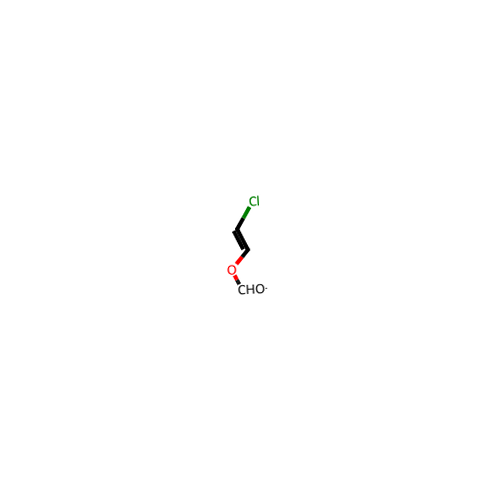 O=[C]OC=CCl